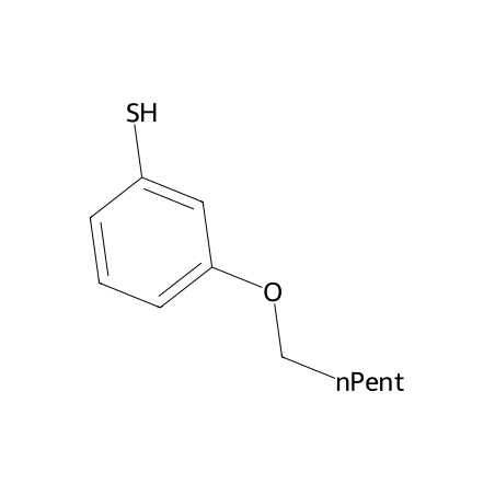 CCCCCCOc1cccc(S)c1